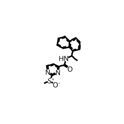 CC(NC(=O)c1ccnc([S+](C)[O-])n1)c1cccc2ccccc12